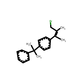 CC(CBr)=C(C)c1ccc(C(C)(C)c2ccccc2)cc1